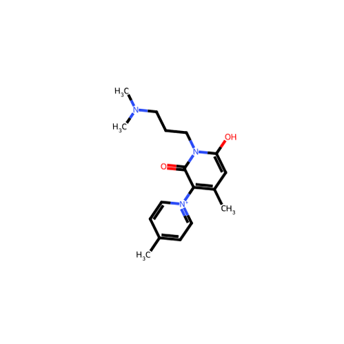 Cc1cc[n+](-c2c(C)cc(O)n(CCCN(C)C)c2=O)cc1